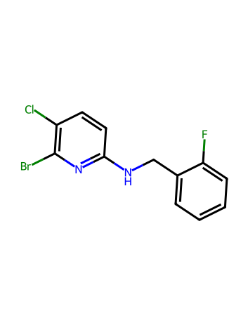 Fc1ccccc1CNc1ccc(Cl)c(Br)n1